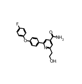 NC(=O)c1cc(CCO)nc(-c2ccc(Oc3ccc(F)cc3)cc2)c1